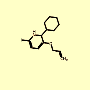 C=CCOC1=CC=C(I)NC1C1CCCCC1